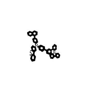 c1cc(-c2ccc(N(c3ccc(-c4cccc5ccccc45)cc3)c3ccc4sc5ccccc5c4c3)cc2)cc(-c2ccccc2-n2c3ccccc3c3ccccc32)c1